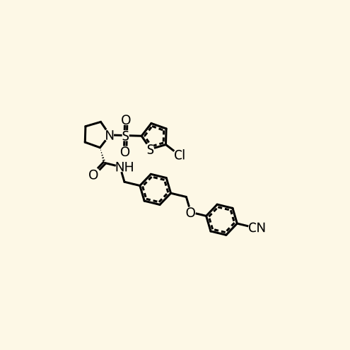 N#Cc1ccc(OCc2ccc(CNC(=O)[C@@H]3CCCN3S(=O)(=O)c3ccc(Cl)s3)cc2)cc1